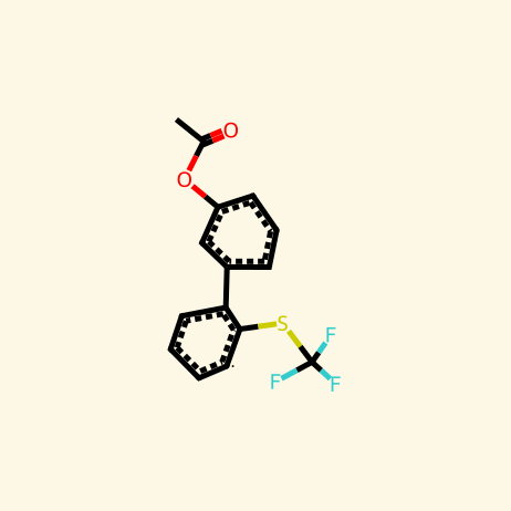 CC(=O)Oc1cccc(-c2ccc[c]c2SC(F)(F)F)c1